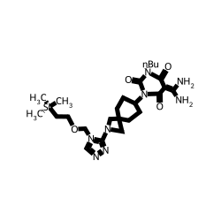 CCCCN1C(=O)C(=C(N)N)C(=O)N(C2CCC3(CC2)CN(c2nncn2COCC[Si](C)(C)C)C3)C1=O